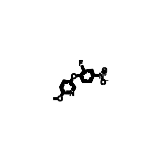 COc1ccc(Oc2ccc([N+](=O)[O-])cc2F)cn1